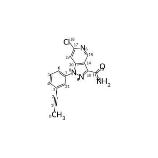 CC#Cc1cccc(-n2nc(C(N)=O)c3cnc(Cl)cc32)c1